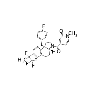 Cn1ccc(C(=O)N2CC[C@@]3(Cc4ccc(F)cc4)c4ccc(C(C)(F)C(F)(F)F)cc4CC[C@@H]23)cc1=O